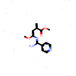 C=C(/C=C(\N=C(/N)c1ccncc1)OC)C(=O)OC